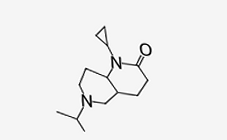 CC(C)N1CCC2C(CCC(=O)N2C2CC2)C1